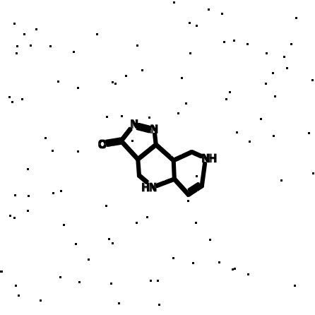 O=C1N=NC2C1CNC1C=CNCC12